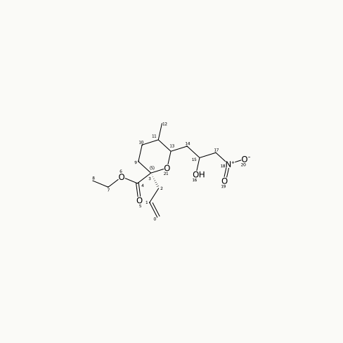 C=CC[C@]1(C(=O)OCC)CCC(C)C(CC(O)C[N+](=O)[O-])O1